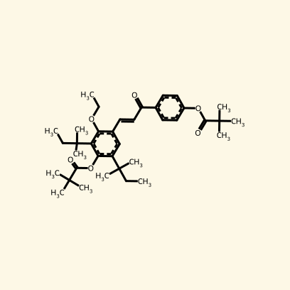 CCOc1c(/C=C/C(=O)c2ccc(OC(=O)C(C)(C)C)cc2)cc(C(C)(C)CC)c(OC(=O)C(C)(C)C)c1C(C)(C)CC